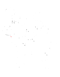 c1ccc(-n2c3ccccc3c3cc(-c4cccc5c6cccc7c8nc9c(nc8n(c45)c67)c4c5ccccc5cc5c6cc7ccccc7c(-c7ccc8c(c7)c7ccccc7n8-c7ccccc7)c6n9c54)ccc32)cc1